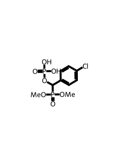 COP(=O)(OC)C(OP(=O)(O)O)c1ccc(Cl)cc1